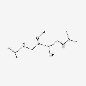 CC(C)NCC(OI)C(O)CNC(C)I